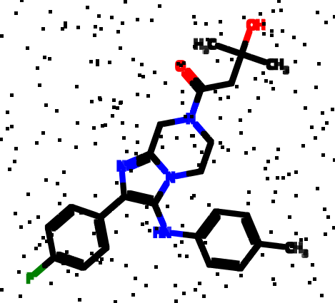 Cc1ccc(Nc2c(-c3ccc(F)cc3)nc3n2CCN(C(=O)CC(C)(C)O)C3)cc1